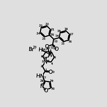 O=C(C[N+]12CCC(CC1)[C@@H](OC(=O)C(c1ccccc1)c1ccccc1)C2)Nc1ccon1.[Br-]